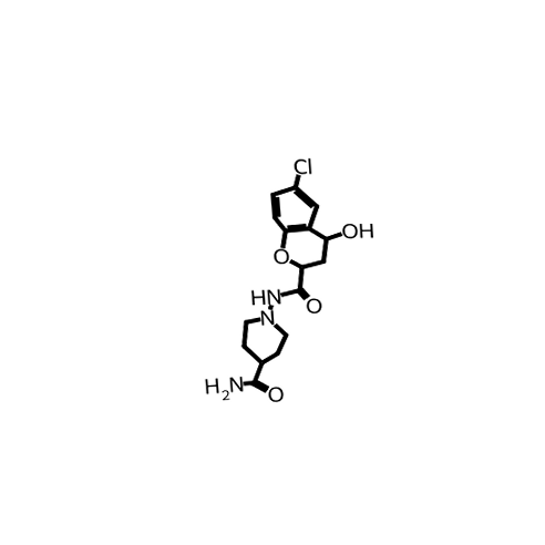 NC(=O)C1CCN(NC(=O)C2CC(O)c3cc(Cl)ccc3O2)CC1